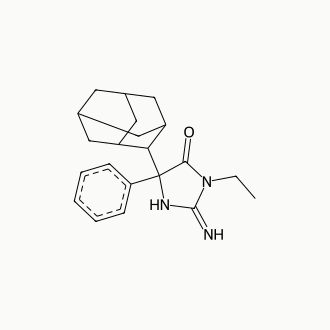 CCN1C(=N)NC(c2ccccc2)(C2C3CC4CC(C3)CC2C4)C1=O